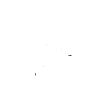 C[C@H](N)c1ccco1.C[C@H](NC1CCN(C2CCCCC2)CC1)c1ccco1